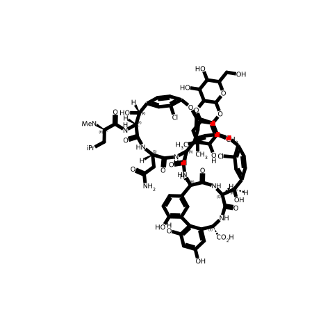 CN[C@H](CC(C)C)C(=O)N[C@H]1C(=O)N[C@@H](CC(N)=O)C(=O)N[C@H]2C(=O)N[C@H]3C(=O)N[C@H](C(=O)N[C@H](C(=O)O)c4cc(O)cc(O)c4-c4cc3ccc4O)[C@H](O)c3ccc(c(Cl)c3)Oc3cc2cc(c3OC2OC(CO)C(O)C(O)C2OC2CC(C)(C)C(O)C(C)O2)Oc2ccc(cc2Cl)[C@H]1O